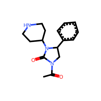 CC(=O)N1CC(c2ccccc2)N(C2CCNCC2)C1=O